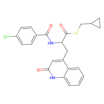 O=C(NC(Cc1cc(=O)[nH]c2ccccc12)C(=O)SCC1CC1)c1ccc(Cl)cc1